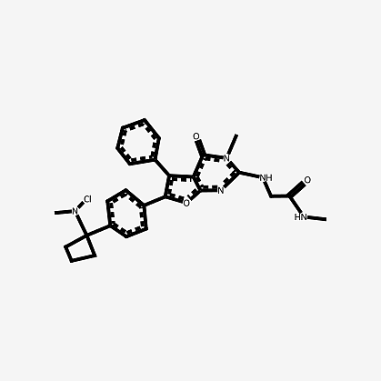 CNC(=O)CNc1nc2oc(-c3ccc(C4(N(C)Cl)CCC4)cc3)c(-c3ccccc3)c2c(=O)n1C